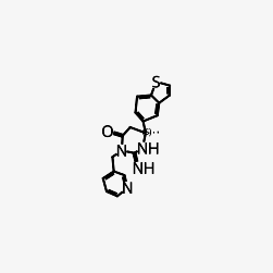 C[C@@]1(c2ccc3sccc3c2)CC(=O)N(Cc2cccnc2)C(=N)N1